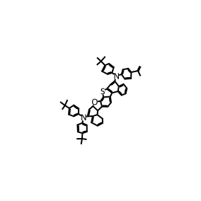 C=C(C)c1ccc(N(c2ccc(C(C)(C)C)cc2)c2cc3sc4c5c(ccc4c3c3ccccc23)C2C(C=C(N(c3ccc(C(C)(C)C)cc3)c3ccc(C(C)(C)C)cc3)C3=CC=CCC32)O5)cc1